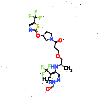 C/C(=C(\C=N/NC=O)N[C@@H](C)COCCC(=O)N1CCC(Oc2ncc(C(F)(F)F)s2)C1)C(F)(F)F